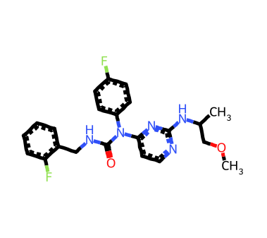 COCC(C)Nc1nccc(N(C(=O)NCc2ccccc2F)c2ccc(F)cc2)n1